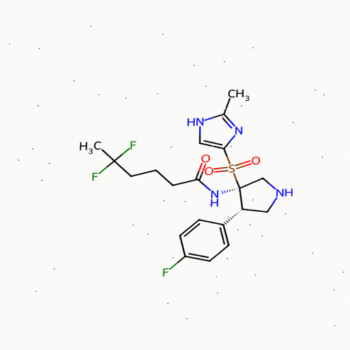 Cc1nc(S(=O)(=O)[C@@]2(NC(=O)CCCC(C)(F)F)CNC[C@@H]2c2ccc(F)cc2)c[nH]1